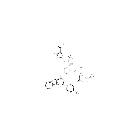 C=C[C@@H]1C[C@]1(NC(=O)[C@@H]1C[C@@H](Oc2nc(-c3ccc(C(C)(C)C)cc3)nc3c2oc2cccnc23)CN1C(=O)[C@@H](Nc1nc(C)c(C(=O)OC)s1)C(C)(C)C)C(=O)NS(=O)(=O)C1CC1